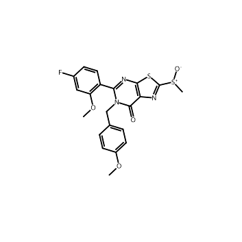 COc1ccc(Cn2c(-c3ccc(F)cc3OC)nc3sc([S+](C)[O-])nc3c2=O)cc1